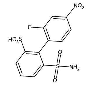 NS(=O)(=O)c1cccc(S(=O)(=O)O)c1-c1ccc([N+](=O)[O-])cc1F